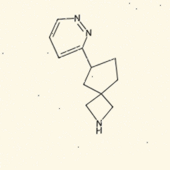 c1cnnc(C2CCC3(CNC3)C2)c1